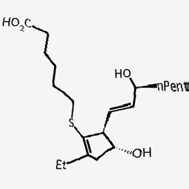 CCCCC[C@H](O)C=C[C@@H]1C(SCCCCCC(=O)O)=C(CC)C[C@H]1O